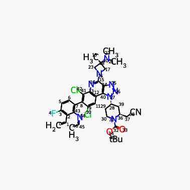 C=Cc1c(F)ccc(-c2c(Cl)cc3c(nc(N4CC(C)(N(C)C)C4)c4nnn([C@H]5CCN(C(=O)OC(C)(C)C)[C@H](CC#N)C5)c43)c2Cl)c1/N=C\C